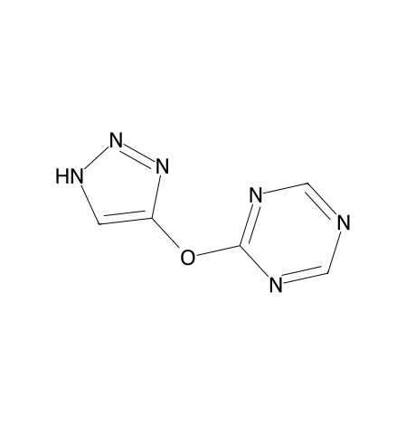 c1ncnc(Oc2c[nH]nn2)n1